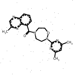 Cc1cc(C)nc(N2CCN(C(=O)c3cccc4ncc(C)nc34)CCO2)n1